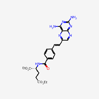 CCOC(=O)CC[C@@H](NC(=O)c1ccc(C=Cc2cnc3nc(N)nc(N)c3n2)cc1)C(=O)OCC